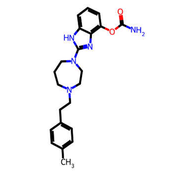 Cc1ccc(CCN2CCCN(c3nc4c(OC(N)=O)cccc4[nH]3)CC2)cc1